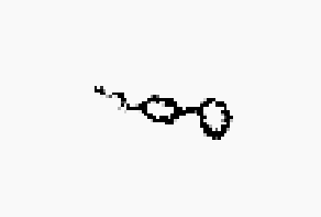 OCOc1ccc(-c2ccccc2)cc1